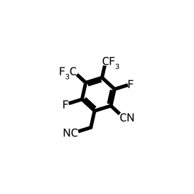 N#CCc1c(F)c(C(F)(F)F)c(C(F)(F)F)c(F)c1C#N